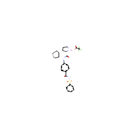 O=C(NS(=O)(=O)c1ccccc1)c1ccc(NC(=O)[C@@H]2[C@H](C3CCCCC3)CCN2OC(=O)C(F)(F)F)cc1